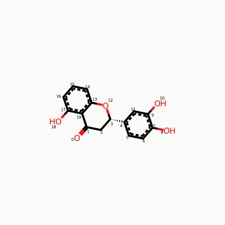 O=C1C[C@@H](c2ccc(O)c(O)c2)Oc2cccc(O)c21